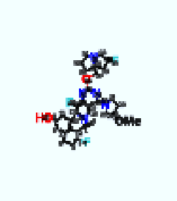 C#Cc1c(F)ccc2cc(O)cc(-c3ncc4c(N5CC[C@@H](OC)C5)nc(OC[C@@]56CCCN5C[C@H](F)C6)nc4c3F)c12